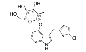 C[C@H]1[C@H](Oc2cccc3[nH]cc(Cc4ccc(Cl)s4)c23)O[C@H](CO)[C@@H](O)[C@@H]1O